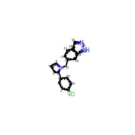 Clc1ccc(-c2cccn2Cc2ccc3cn[nH]c3c2)cc1